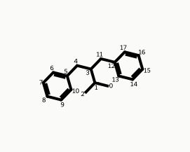 C[C](C)C(Cc1ccccc1)Cc1ccccc1